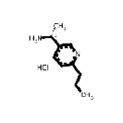 CCCc1ccc([C@@H](C)N)cn1.Cl